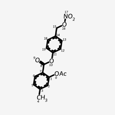 CC(=O)Oc1cc(C)ccc1C(=O)Oc1ccc(CO[N+](=O)[O-])cc1